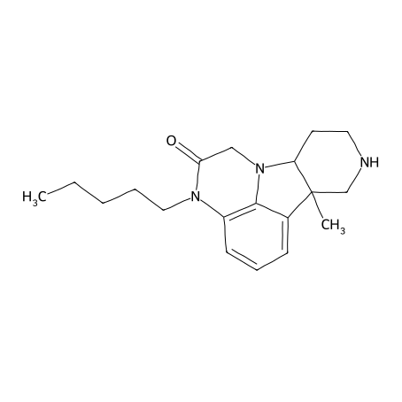 CCCCCN1C(=O)CN2c3c1cccc3C1(C)CNCCC21